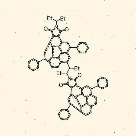 CCC(c1cc2c(-c3ccccc3)cc3c4c(=O)n(C(CC)CC)c(=O)c4c4cc(-c5ccccc5)c5ccc1c1c5c4c3c21)C(CC)n1c(=O)c2c3cc(-c4ccccc4)c4ccc5ccc6c(-c7ccccc7)cc(c2c1=O)c1c6c5c4c31